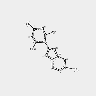 Cc1ccc2sc(-c3c(Cl)nc(N)nc3Cl)nc2c1